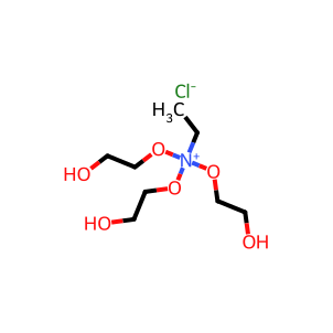 CC[N+](OCCO)(OCCO)OCCO.[Cl-]